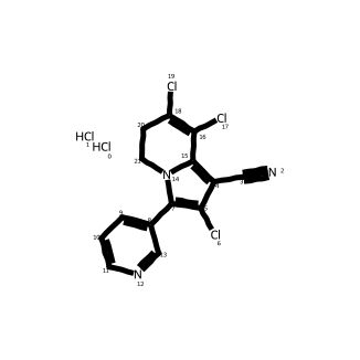 Cl.Cl.N#Cc1c(Cl)c(-c2cccnc2)n2c1C(Cl)=C(Cl)CC2